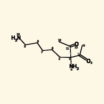 CC(=O)C(N)(CCCCCN)C(C)=O